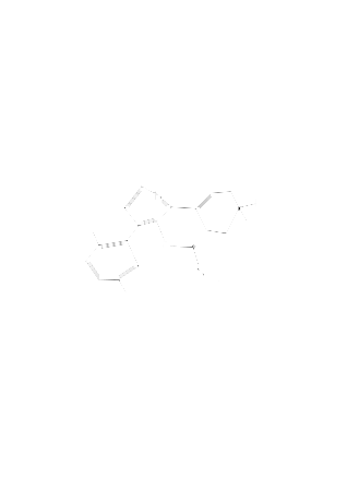 NC(=O)Oc1c(-c2cc(F)ccc2F)ccnc1C1=CCC(F)(F)CC1